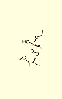 CCOP(=O)(O)OOC(C)C(C)OC